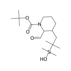 CC(C)(C)OC(=O)N1CCCC(CC(C)(C)[Si](C)(C)O)C1C=O